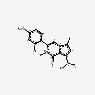 CCN(CC)c1cc(C)n2nc(-c3ccc(OC)cc3Cl)n(C)c(=O)c12